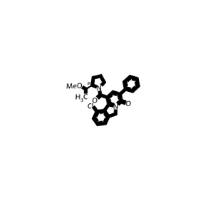 COC(C)[C@H]1CCCN1C(=O)c1cc(-c2ccccc2)c(=O)n2c1-c1c(Cl)cccc1C2